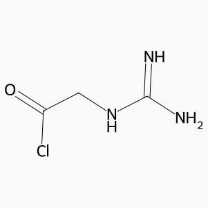 N=C(N)NCC(=O)Cl